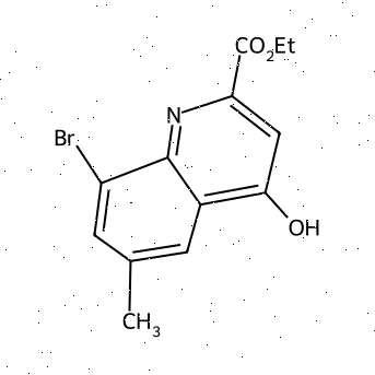 CCOC(=O)c1cc(O)c2cc(C)cc(Br)c2n1